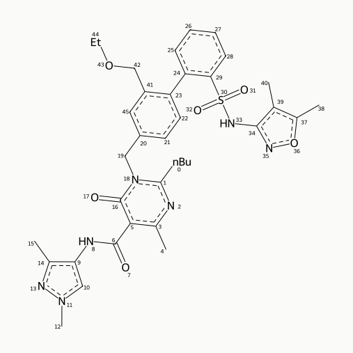 CCCCc1nc(C)c(C(=O)Nc2cn(C)nc2C)c(=O)n1Cc1ccc(-c2ccccc2S(=O)(=O)Nc2noc(C)c2C)c(COCC)c1